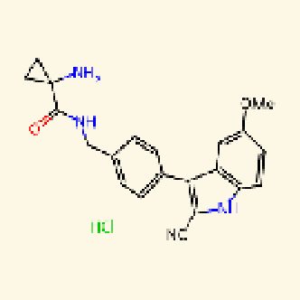 COc1ccc2[nH]c(C#N)c(-c3ccc(CNC(=O)C4(N)CC4)cc3)c2c1.Cl